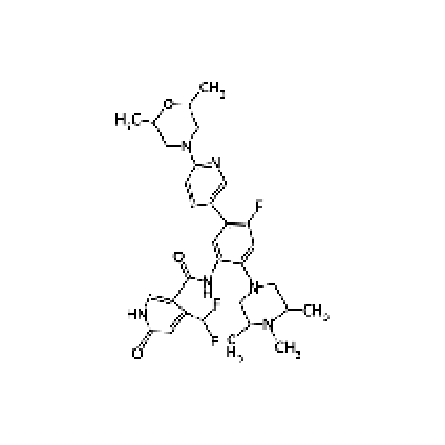 CC1CN(c2ccc(-c3cc(NC(=O)c4c[nH]c(=O)cc4C(F)F)c(N4CC(C)N(C)C(C)C4)cc3F)cn2)CC(C)O1